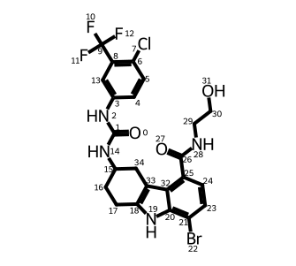 O=C(Nc1ccc(Cl)c(C(F)(F)F)c1)NC1CCc2[nH]c3c(Br)ccc(C(=O)NCCO)c3c2C1